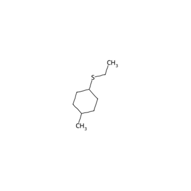 CCSC1CCC(C)CC1